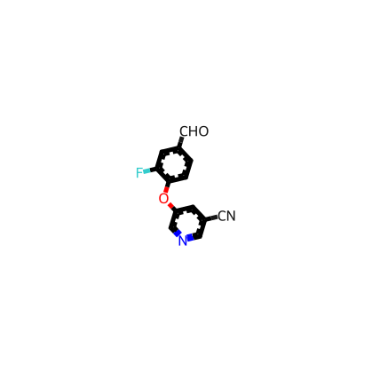 N#Cc1cncc(Oc2ccc(C=O)cc2F)c1